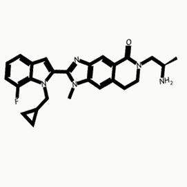 C[C@@H](N)CN1CCc2cc3c(cc2C1=O)nc(-c1cc2cccc(F)c2n1CC1CC1)n3C